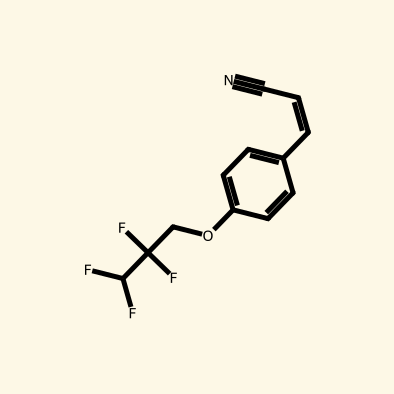 N#C/C=C\c1ccc(OCC(F)(F)C(F)F)cc1